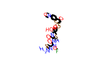 Nc1nc(C(=NOCF)C(=O)NC2C(=O)N3CC(C=CSc4cc(=O)c5ccc(N6CCOCC6)cc5s4)(C(=O)O)CS[C@H]23)cs1